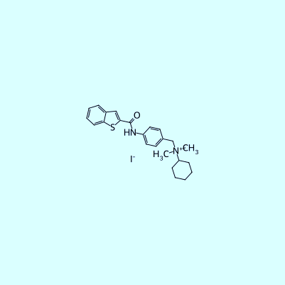 C[N+](C)(Cc1ccc(NC(=O)c2cc3ccccc3s2)cc1)C1CCCCC1.[I-]